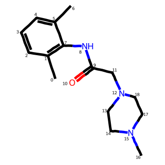 Cc1cccc(C)c1NC(=O)CN1CCN(C)CC1